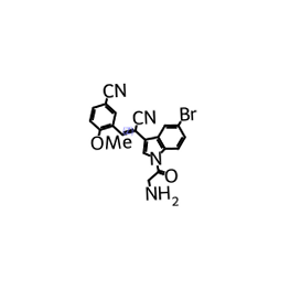 COc1ccc(C#N)cc1/C=C(\C#N)c1cn(C(=O)CN)c2ccc(Br)cc12